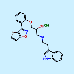 Cl.OC(CNCCc1c[nH]c2ccccc12)COc1ccccc1-c1noc2ccsc12